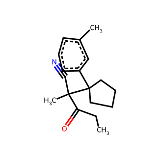 CCC(=O)C(C)(C#N)C1(c2cccc(C)c2)CCCC1